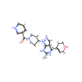 O=C(c1cccnc1)N1CCC(n2ncc3c(C4=CCOCC4)nc(Cl)nc32)CC1